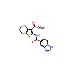 COC(=O)c1c(NC(=O)c2ccc3[nH]cnc3c2)sc2c1CCCC2